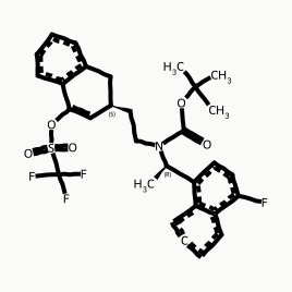 C[C@H](c1ccc(F)c2ccccc12)N(CC[C@H]1C=C(OS(=O)(=O)C(F)(F)F)c2ccccc2C1)C(=O)OC(C)(C)C